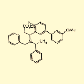 CCOC(=O)CC(c1cc(-c2cccc(OC)c2)ccc1F)N(Cc1ccccc1)[C@H](C)c1ccccc1